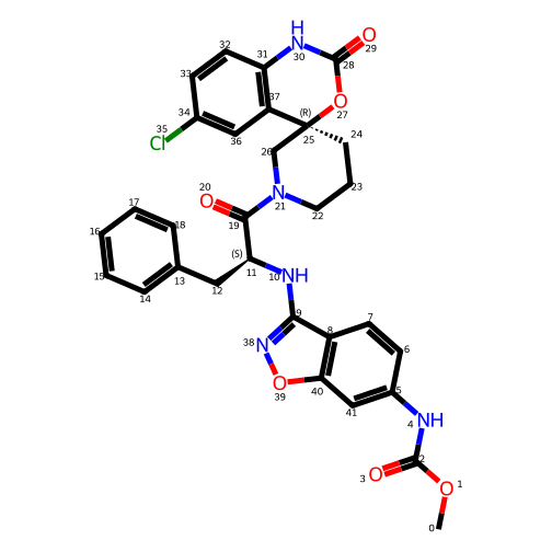 COC(=O)Nc1ccc2c(N[C@@H](Cc3ccccc3)C(=O)N3CCC[C@@]4(C3)OC(=O)Nc3ccc(Cl)cc34)noc2c1